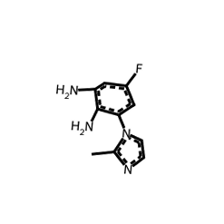 Cc1nccn1-c1cc(F)cc(N)c1N